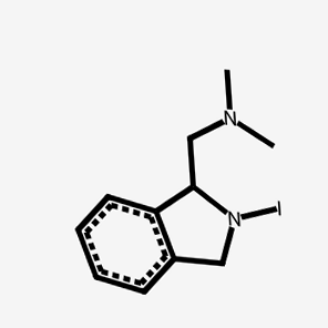 CN(C)CC1c2ccccc2CN1I